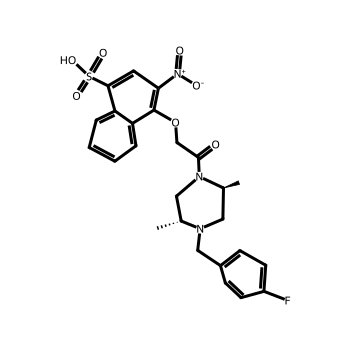 C[C@@H]1CN(C(=O)COc2c([N+](=O)[O-])cc(S(=O)(=O)O)c3ccccc23)[C@@H](C)CN1Cc1ccc(F)cc1